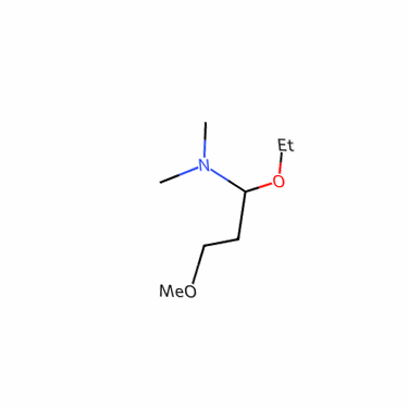 CCOC(CCOC)N(C)C